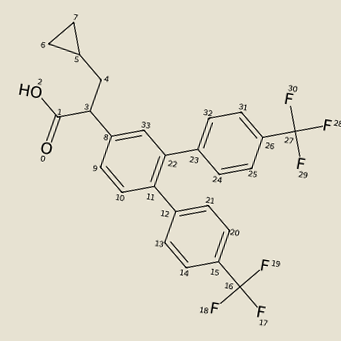 O=C(O)C(CC1CC1)c1ccc(-c2ccc(C(F)(F)F)cc2)c(-c2ccc(C(F)(F)F)cc2)c1